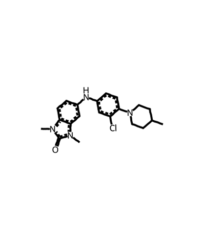 CC1CCN(c2ccc(Nc3ccc4c(c3)n(C)c(=O)n4C)cc2Cl)CC1